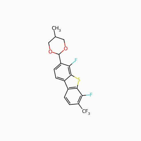 CC1COC(c2ccc3c(sc4c(F)c(C(F)(F)F)ccc43)c2F)OC1